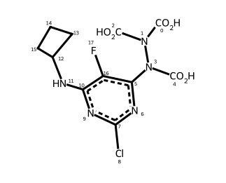 O=C(O)N(C(=O)O)N(C(=O)O)c1nc(Cl)nc(NC2CCC2)c1F